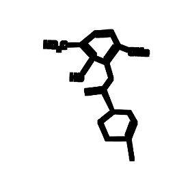 C=C(Cc1c(OC)ccc(C(=O)O)c1O)[C@H]1CC=C(C)CC1